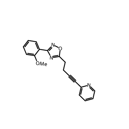 COc1ccccc1-c1noc(CCC#Cc2ccccn2)n1